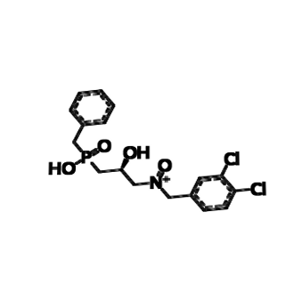 O=[N+](Cc1ccc(Cl)c(Cl)c1)C[C@H](O)CP(=O)(O)Cc1ccccc1